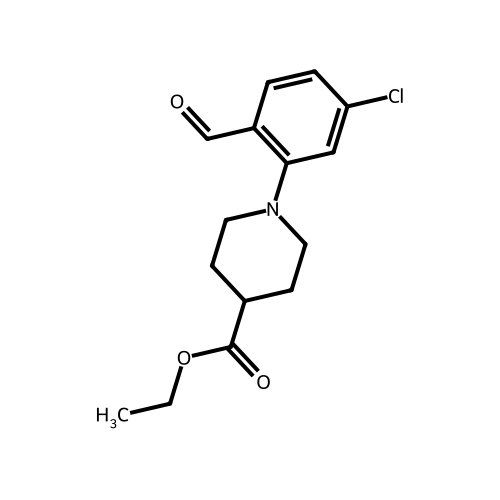 CCOC(=O)C1CCN(c2cc(Cl)ccc2C=O)CC1